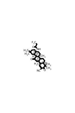 CC1(C)CC[C@@]2(NC(=O)CC(F)(F)F)CC[C@]3(C)[C@H](C(=O)C=C4[C@]5(C)C=C(C#N)C(=O)C(C)(C)[C@@H]5CC[C@@]43C)[C@@H]2C1